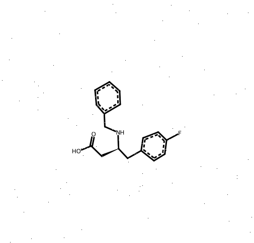 O=C(O)C[C@H](Cc1ccc(F)cc1)NCc1ccccc1